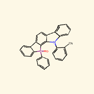 N#Cc1ccccc1-n1c2ccccc2c2ccc3c(c21)P(=O)(c1ccccc1)c1ccccc1-3